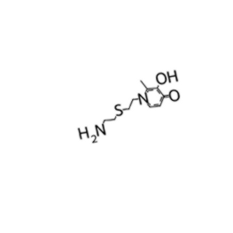 Cc1c(O)c(=O)ccn1CCSCCN